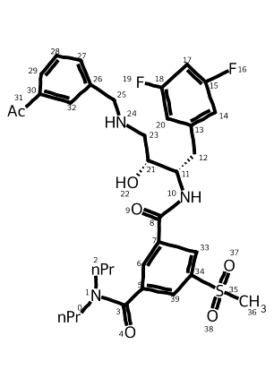 CCCN(CCC)C(=O)c1cc(C(=O)N[C@@H](Cc2cc(F)cc(F)c2)[C@H](O)CNCc2cccc(C(C)=O)c2)cc(S(C)(=O)=O)c1